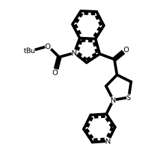 CC(C)(C)OC(=O)n1cc(C(=O)C2CSN(c3cccnc3)C2)c2ccccc21